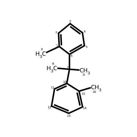 Cc1ccccc1C(C)(C)c1ccccc1C